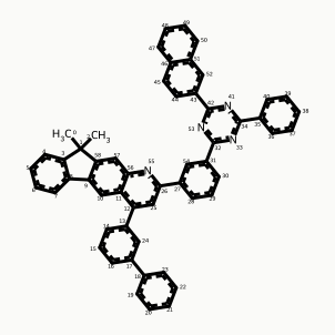 CC1(C)c2ccccc2-c2cc3c(-c4cccc(-c5ccccc5)c4)cc(-c4cccc(-c5nc(-c6ccccc6)nc(-c6ccc7ccccc7c6)n5)c4)nc3cc21